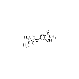 CCC(C)(C)C(=O)Oc1ccc(C(C)=O)c(O)c1